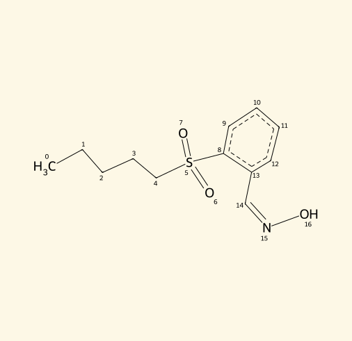 CCCCCS(=O)(=O)c1ccccc1/C=N\O